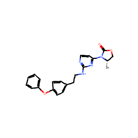 CC(C)[C@H]1COC(=O)N1c1ccnc(NCCc2ccc(Oc3ccccc3)cc2)n1